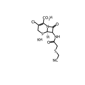 N#CCSCC(=O)NC1C(=O)N2C(C(=O)O)=C(Cl)CS[C@H]12.[KH]